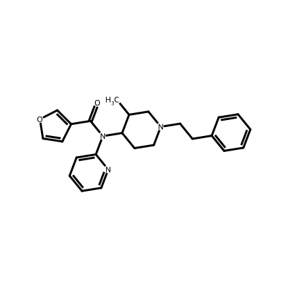 CC1CN(CCc2ccccc2)CCC1N(C(=O)c1ccoc1)c1ccccn1